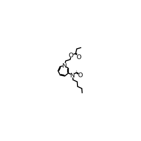 CCCCCN([C]=O)C1=CN(CCOC(=O)CC)C=CC=C1